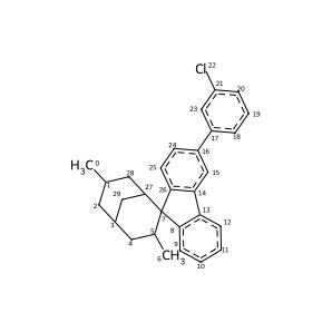 CC1CC2CC(C)C3(c4ccccc4-c4cc(-c5cccc(Cl)c5)ccc43)C(C1)C2